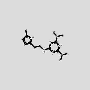 Cc1ccc(CCNc2nc(N(C)C)nc(N(C)C)n2)s1